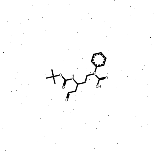 CC(C)(C)OC(=O)NC(CC=O)CCN(C(=O)O)c1ccccc1